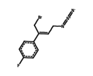 [N-]=[N+]=NCC=C(CBr)c1ccc(F)cc1